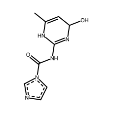 CC1=CC(O)N=C(NC(=O)n2ccnc2)N1